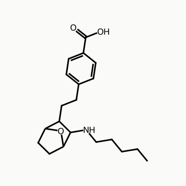 CCCCCNC1C2CCC(O2)C1CCc1ccc(C(=O)O)cc1